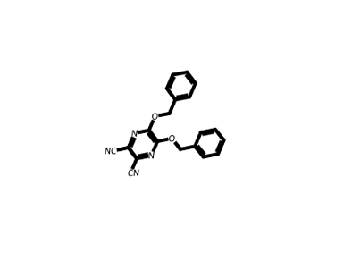 N#Cc1nc(OCc2ccccc2)c(OCc2ccccc2)nc1C#N